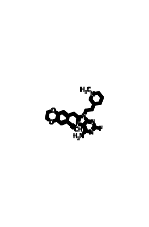 C#Cc1cc2c(cc1Cc1nc3c(N)nc(F)nc3n1CCC1CCCN(C)C1)OCCO2